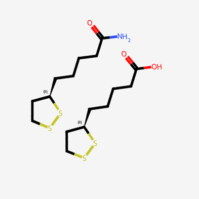 NC(=O)CCCC[C@@H]1CCSS1.O=C(O)CCCC[C@@H]1CCSS1